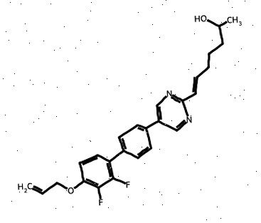 C=CCOc1ccc(-c2ccc(-c3cnc(/C=C/CCCC(C)O)nc3)cc2)c(F)c1F